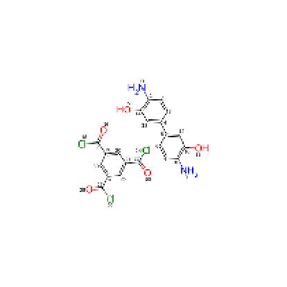 Nc1ccc(-c2ccc(N)c(O)c2)cc1O.O=C(Cl)c1cc(C(=O)Cl)cc(C(=O)Cl)c1